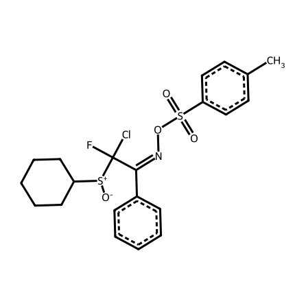 Cc1ccc(S(=O)(=O)ON=C(c2ccccc2)C(F)(Cl)[S+]([O-])C2CCCCC2)cc1